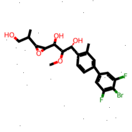 COC(C(O)C1OC1C(C)CO)[C@H](O)c1ccc(-c2cc(F)c(Br)c(F)c2)cc1C